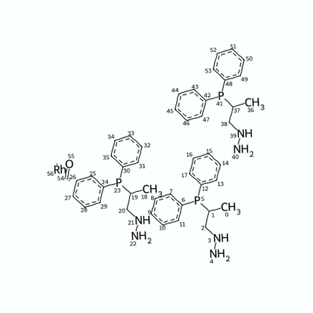 CC(CNN)P(c1ccccc1)c1ccccc1.CC(CNN)P(c1ccccc1)c1ccccc1.CC(CNN)P(c1ccccc1)c1ccccc1.[C]=O.[Rh]